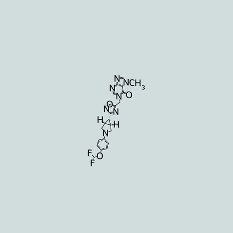 Cn1cnc2ncn(Cc3nc([C@@H]4[C@@H]5CN(c6ccc(OC(F)F)cc6)C[C@@H]54)no3)c(=O)c21